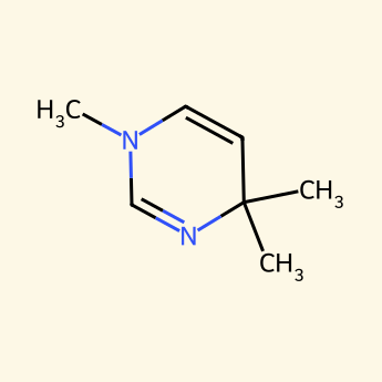 CN1C=CC(C)(C)N=C1